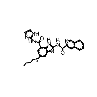 CCCCSc1cc(C(=O)Nc2ncc[nH]2)c2[nH]c(NC(=O)c3cc4ccccc4cn3)nc2c1